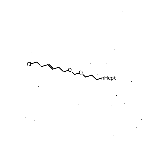 CCCCCCCCCCOCOCCC=CCCCl